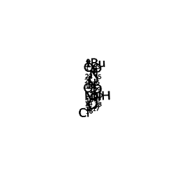 CC(C)(C)OC(=O)N1CCN(S(=O)(=O)c2nc3cc(Cl)ccc3[nH]2)CC1